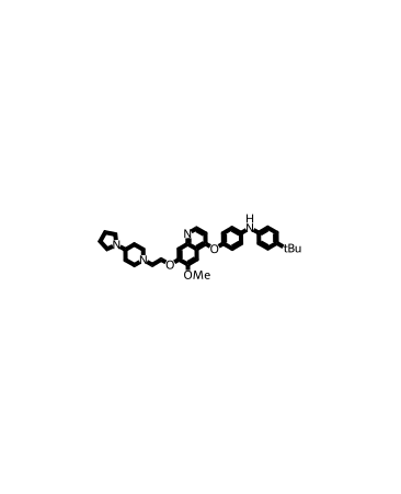 COc1cc2c(Oc3ccc(Nc4ccc(C(C)(C)C)cc4)cc3)ccnc2cc1OCCN1CCC(N2CCCC2)CC1